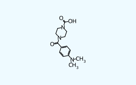 CN(C)c1ccc(C(=O)N2CCN(C(=O)O)CC2)cc1